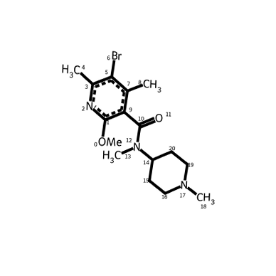 COc1nc(C)c(Br)c(C)c1C(=O)N(C)C1CCN(C)CC1